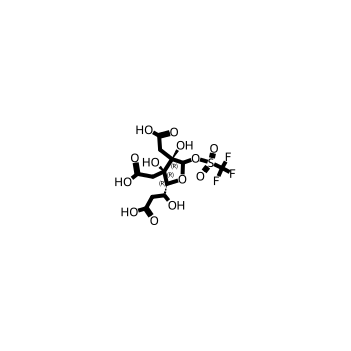 O=C(O)CC(O)[C@H]1OC(OS(=O)(=O)C(F)(F)F)[C@@](O)(CC(=O)O)[C@@]1(O)CC(=O)O